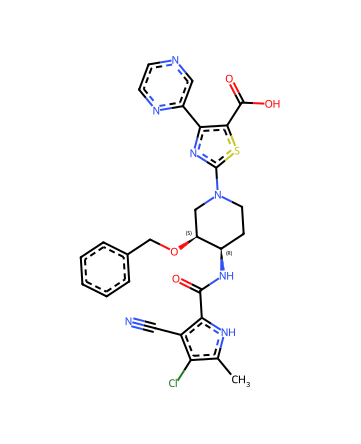 Cc1[nH]c(C(=O)N[C@@H]2CCN(c3nc(-c4cnccn4)c(C(=O)O)s3)C[C@@H]2OCc2ccccc2)c(C#N)c1Cl